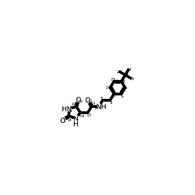 CC(C)(C)c1ccc(CCNC(=O)CC2NC(=O)NC2=O)cc1